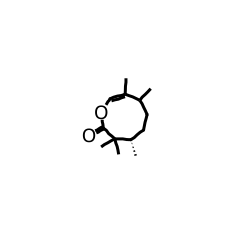 C/C1=C/OC(=O)C(C)(C)[C@@H](C)CCC1C